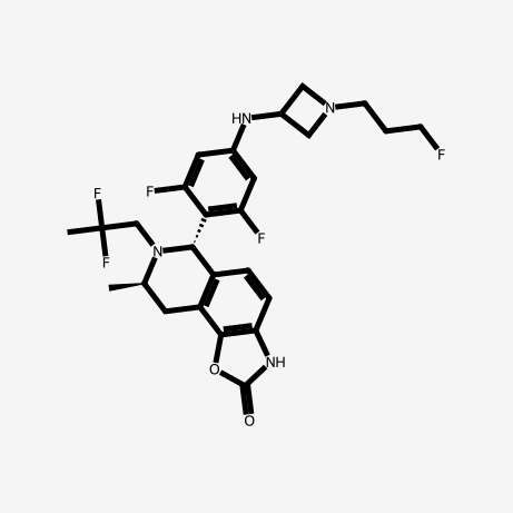 C[C@@H]1Cc2c(ccc3[nH]c(=O)oc23)[C@@H](c2c(F)cc(NC3CN(CCCF)C3)cc2F)N1CC(C)(F)F